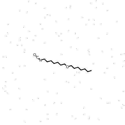 CCCCCCCOCCCCCCCN=C=O